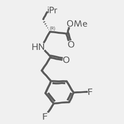 COC(=O)[C@@H](CC(C)C)NC(=O)Cc1cc(F)cc(F)c1